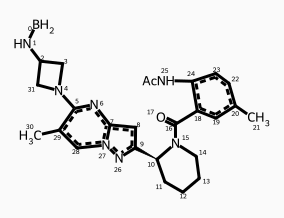 BNC1CN(c2nc3cc([C@@H]4CCCCN4C(=O)c4cc(C)ccc4NC(C)=O)nn3cc2C)C1